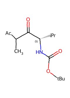 CC(=O)C(C)C(=O)[C@@H](NC(=O)OC(C)(C)C)C(C)C